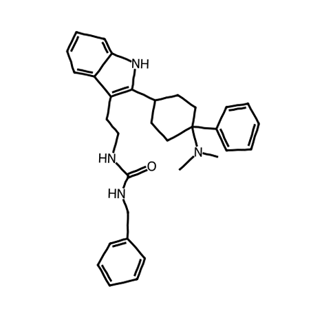 CN(C)C1(c2ccccc2)CCC(c2[nH]c3ccccc3c2CCNC(=O)NCc2ccccc2)CC1